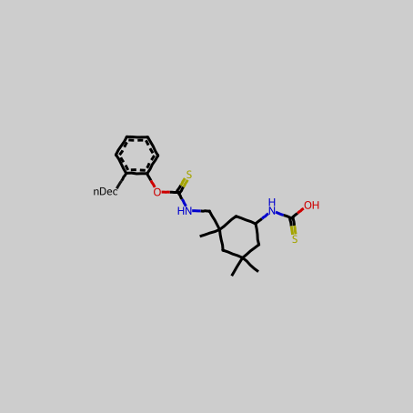 CCCCCCCCCCc1ccccc1OC(=S)NCC1(C)CC(NC(O)=S)CC(C)(C)C1